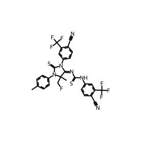 Cc1ccc(N2C(=S)N(c3ccc(C#N)c(C(F)(F)F)c3)C(=NC(=S)Nc3ccc(C#N)c(C(F)(F)F)c3)C2(C)CF)cc1